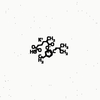 C=C(CCCS(=O)(=O)O)C(=O)[O-].C=CC(=C)C.C=Cc1ccccc1.[K+]